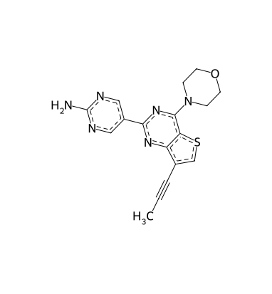 CC#Cc1csc2c(N3CCOCC3)nc(-c3cnc(N)nc3)nc12